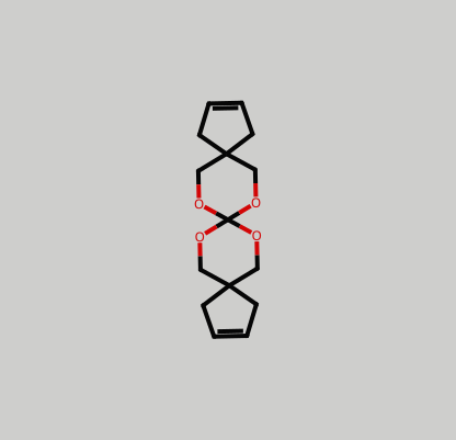 C1=CCC2(C1)COC1(OC2)OCC2(CC=CC2)CO1